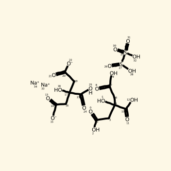 O=C(O)CC(O)(CC(=O)O)C(=O)O.O=C([O-])CC(O)(CC(=O)[O-])C(=O)O.O=S(O)S(=O)(=O)O.[Na+].[Na+]